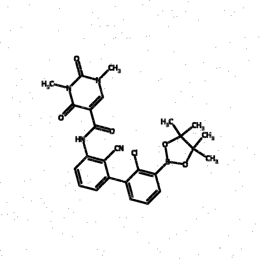 Cn1cc(C(=O)Nc2cccc(-c3cccc(B4OC(C)(C)C(C)(C)O4)c3Cl)c2C#N)c(=O)n(C)c1=O